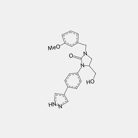 COc1cccc(CN2CC(CO)N(c3ccc(-c4cn[nH]c4)cc3)C2=O)c1